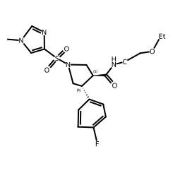 CCOCCNC(=O)[C@@H]1CN(S(=O)(=O)c2cn(C)cn2)C[C@H]1c1ccc(F)cc1